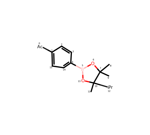 CC(=O)c1ccc(B2OC(C)(C)C(C)(C(C)C)O2)cc1